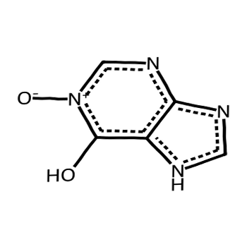 [O-][n+]1cnc2nc[nH]c2c1O